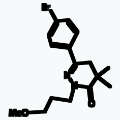 COCCCN1N=C(c2ccc(Br)cc2)CC(C)(C)C1=O